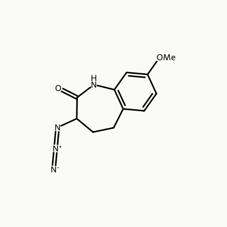 COc1ccc2c(c1)NC(=O)C(N=[N+]=[N-])CC2